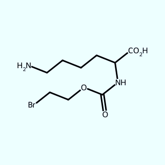 NCCCCC(NC(=O)OCCBr)C(=O)O